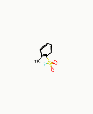 N#Cc1ccc[c]c1S(=O)(=O)F